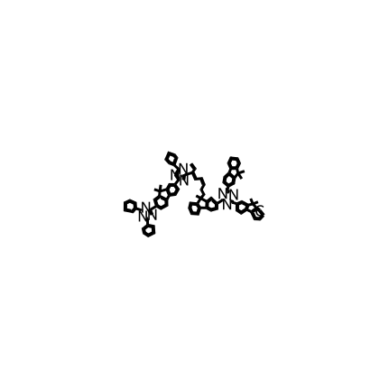 C=C/C(=C\C=C/CCC1(C)c2ccccc2-c2ccc(-c3nc(-c4ccc5c(c4)C(C)(C)c4ccccc4-5)nc(-c4ccc5c(c4)C(C)(C)c4ccccc4-5)n3)cc21)c1nc(-c2ccccc2)nc(-c2ccc3c(c2)C(C)(C)c2cc(-c4nc(-c5ccccc5)nc(-c5ccccc5)n4)ccc2-3)n1